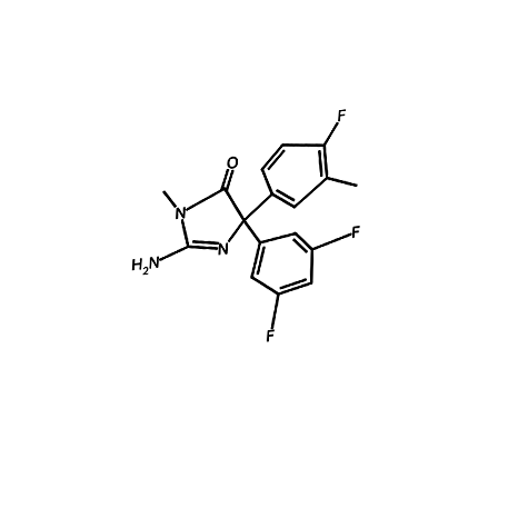 Cc1cc(C2(c3cc(F)cc(F)c3)N=C(N)N(C)C2=O)ccc1F